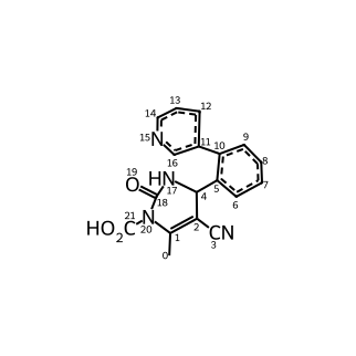 CC1=C(C#N)C(c2ccccc2-c2cccnc2)NC(=O)N1C(=O)O